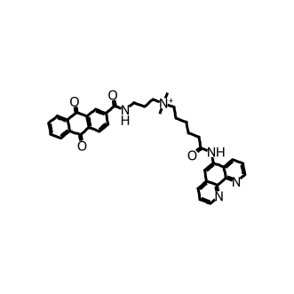 C[N+](C)(CCCCCC(=O)Nc1cc2cccnc2c2ncccc12)CCCNC(=O)c1ccc2c(c1)C(=O)c1ccccc1C2=O